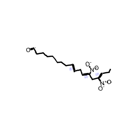 CC/C=C(/C/C(=C/C/C=C/CCCCCCC[C]=O)[N+](=O)[O-])[N+](=O)[O-]